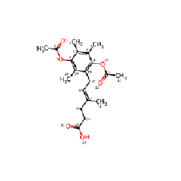 CC(=O)Oc1c(C)c(C)c(OC(C)=O)c(C/C=C(\C)CCC(=O)O)c1C